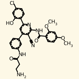 COc1ccc(C(=O)Nc2nc(-c3ccc(Cl)cc3O)cc(-c3cccc(NC(=O)CCN)c3)c2C#N)c(OC)c1